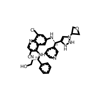 N#Cc1cnc2c(Cl)cc(N[C@H](C3=CN(C4COC4)NN3)c3cccnc3)cc2c1N[C@@H](CCO)c1ccccc1